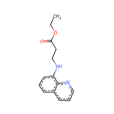 CCOC(=O)CCNc1cccc2cccnc12